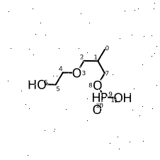 CC(COCCO)CO[PH](=O)O